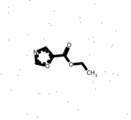 CCOC(=O)c1cn[c]o1